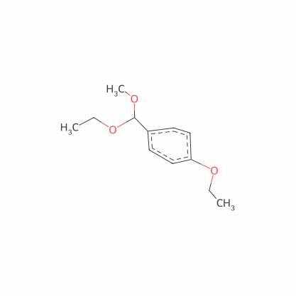 CCOc1ccc(C(OC)OCC)cc1